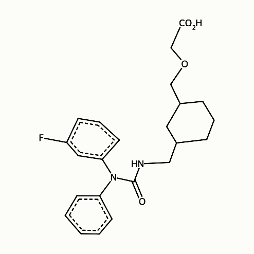 O=C(O)COCC1CCCC(CNC(=O)N(c2ccccc2)c2cccc(F)c2)C1